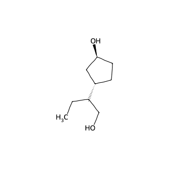 CC[C](CO)[C@H]1CC[C@H](O)C1